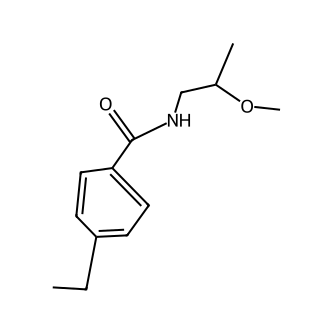 CCc1ccc(C(=O)NCC(C)OC)cc1